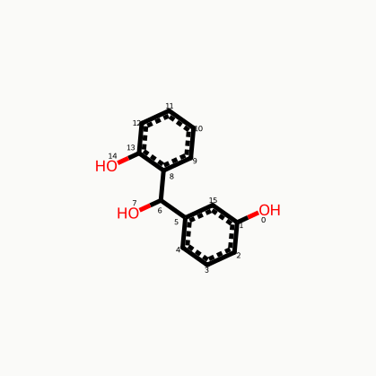 Oc1cccc(C(O)c2ccccc2O)c1